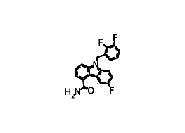 NC(=O)c1cccc2c1c1[c]c(F)ccc1n2Cc1cccc(F)c1F